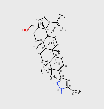 C=C(C)[C@@H]1CC[C@]2(CO)CC[C@]3(C)[C@H](CC[C@@H]4[C@@]5(C)CC=C(c6cc(C(=O)O)[nH]n6)C(C)(C)[C@@H]5CC[C@]43C)[C@@H]12